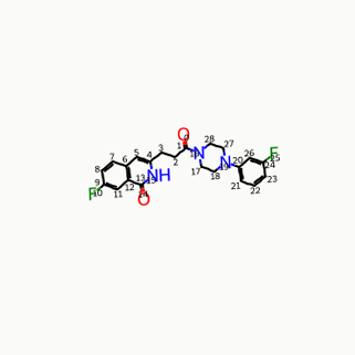 O=C(CCc1cc2ccc(F)cc2c(=O)[nH]1)N1CCN(c2cccc(F)c2)CC1